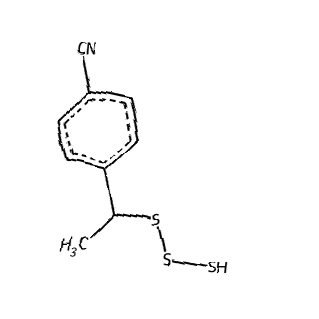 CC(SSS)c1ccc(C#N)cc1